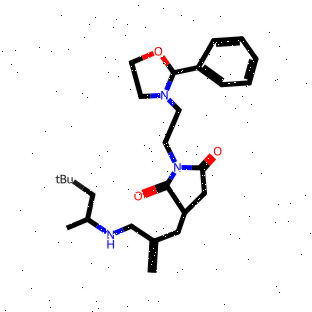 C=C(CNC(C)CC(C)(C)C)CC1CC(=O)N(CCN2CCOC2c2ccccc2)C1=O